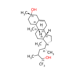 CC(C[C@@H](C)[C@H]1CC[C@H]2[C@@H]3CC=C4C[C@@](C)(O)CC[C@]4(C)[C@H]3CC[C@]12C)[C@H](O)C(F)(F)F